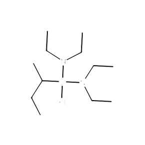 CCC(C)[Si](Cl)(N(CC)CC)N(CC)CC